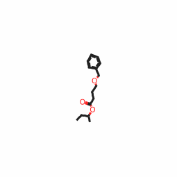 CCC(C)OC(=O)CCCOCc1ccccc1